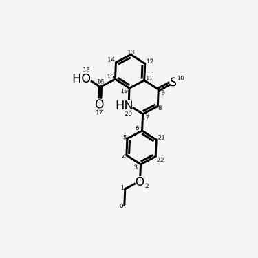 CCOc1ccc(-c2cc(=S)c3cccc(C(=O)O)c3[nH]2)cc1